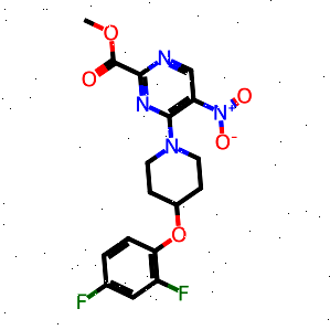 COC(=O)c1ncc([N+](=O)[O-])c(N2CCC(Oc3ccc(F)cc3F)CC2)n1